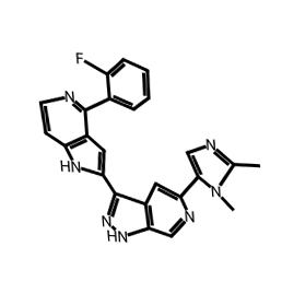 Cc1ncc(-c2cc3c(-c4cc5c(-c6ccccc6F)nccc5[nH]4)n[nH]c3cn2)n1C